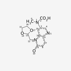 CN(C(=O)O)c1cnc2ccc(=O)n(CC3OCCO3)c2c1